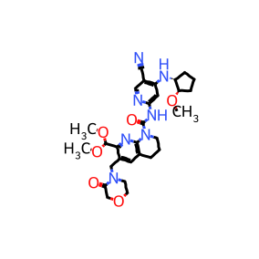 COC(OC)c1nc2c(cc1CN1CCOCC1=O)CCCN2C(=O)Nc1cc(N[C@@H]2CCC[C@H]2OC)c(C#N)cn1